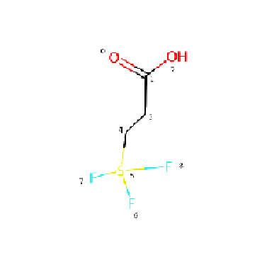 O=C(O)CCS(F)(F)F